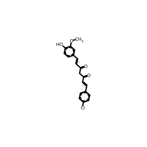 COc1cc(/C=C/C(=O)CC(=O)/C=C/c2ccc(Cl)cc2)ccc1O